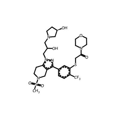 CS(=O)(=O)N1CCc2c(c(-c3ccc(C(F)(F)F)c(SCC(=O)N4CCOCC4)c3)nn2CC(O)CN2CC[C@@H](O)C2)C1